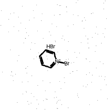 Br.Br[n+]1ccccc1